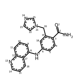 NC(=O)c1ccc(Nc2cccc3ncccc23)cc1Cn1ccnc1